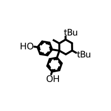 CC1C(C(C)(C)C)CC(C(C)(C)C)CC1(c1ccc(O)cc1)c1ccc(O)cc1